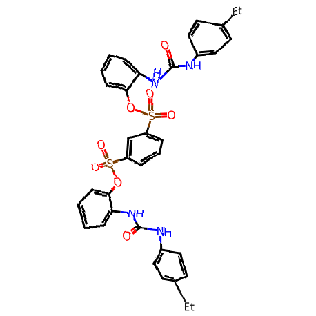 CCc1ccc(NC(=O)Nc2ccccc2OS(=O)(=O)c2cccc(S(=O)(=O)Oc3ccccc3NC(=O)Nc3ccc(CC)cc3)c2)cc1